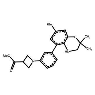 COC(=O)C1CN(c2cccc(-c3cc(C(C)(C)C)cc4c3NCC(C)(C)O4)c2)C1